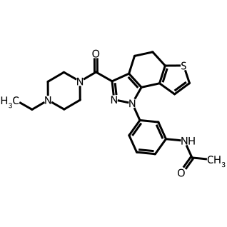 CCN1CCN(C(=O)c2nn(-c3cccc(NC(C)=O)c3)c3c2CCc2sccc2-3)CC1